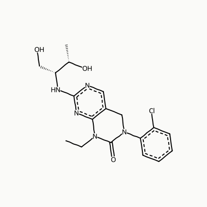 CCN1C(=O)N(c2ccccc2Cl)Cc2cnc(N[C@H](CO)[C@H](C)O)nc21